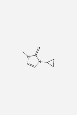 Cn1ccn(C2CC2)c1=O